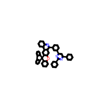 c1ccc(-c2cc(-c3cccc(-c4nc5ccccc5c5cc6c(cc45)Oc4ccccc4C64c5ccccc5-c5ccccc54)c3)nc(-c3ccccc3)n2)cc1